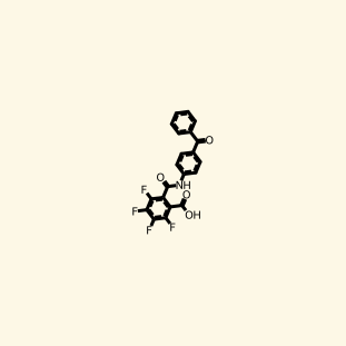 O=C(c1ccccc1)c1ccc(NC(=O)c2c(F)c(F)c(F)c(F)c2C(=O)O)cc1